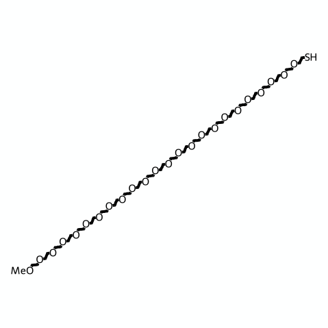 COCCOCCOCCOCCOCCOCCOCCOCCOCCOCCOCCOCCOCCOCCOCCOCCOCCOCCOCCOCCOCCOCCOCCOCCS